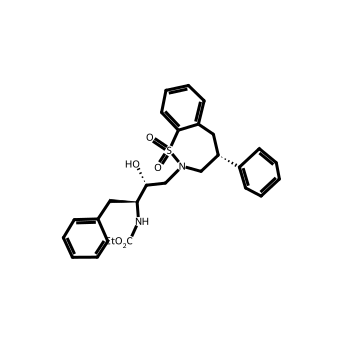 CCOC(=O)N[C@@H](Cc1ccccc1)[C@H](O)CN1C[C@@H](c2ccccc2)Cc2ccccc2S1(=O)=O